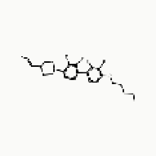 C/C=C/C1CCC(c2ccc(-c3ccc(OCCCCC)c(F)c3F)c(F)c2F)CC1